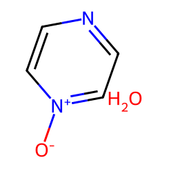 O.[O-][n+]1ccncc1